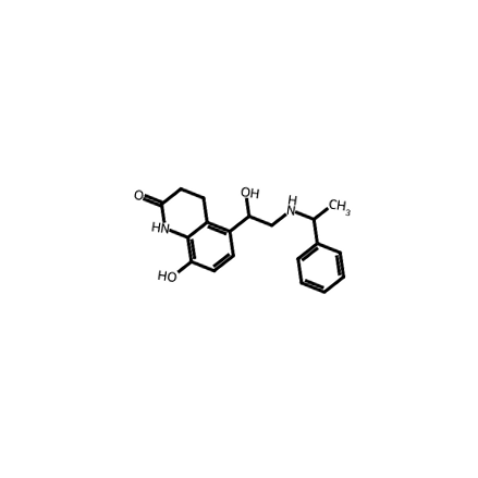 CC(NCC(O)c1ccc(O)c2c1CCC(=O)N2)c1ccccc1